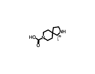 C[C@H]1NCCC12CCN(C(=O)O)CC2